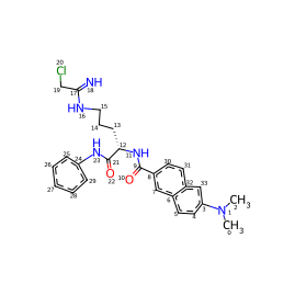 CN(C)c1ccc2cc(C(=O)N[C@@H](CCCNC(=N)CCl)C(=O)Nc3ccccc3)ccc2c1